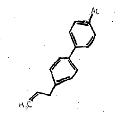 C=CCc1ccc(-c2ccc(C(C)=O)cc2)cc1